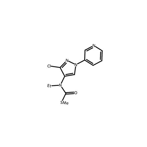 CCN(C(=O)SC)c1cn(-c2cccnc2)nc1Cl